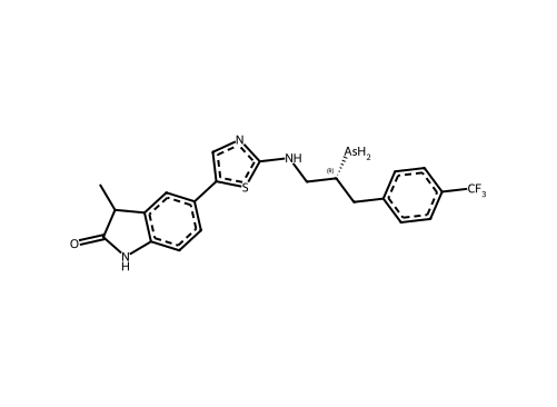 CC1C(=O)Nc2ccc(-c3cnc(NC[C@H]([AsH2])Cc4ccc(C(F)(F)F)cc4)s3)cc21